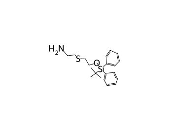 CC(C)(C)[Si](OCCSCCN)(c1ccccc1)c1ccccc1